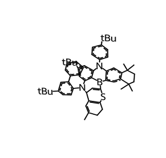 CC1=CC2=C(CC1)SC1=CC2N(c2ccc(C(C)(C)C)cc2-c2ccccc2)c2cc(C(C)(C)C)cc3c2B1c1cc2c(cc1N3c1ccc(C(C)(C)C)cc1)C(C)(C)CCC2(C)C